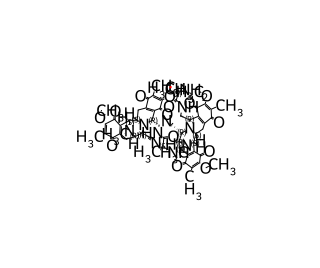 COC1=C(C)C(=O)C2=C(C1=O)[C@H]1[C@@H]3CC4=C(C(=O)C(OC)=C(C)C4=O)[C@H](CNC(=O)[C@H](C)N)N3[C@@H](C#N)[C@@H]([C@H]2N[C@@H](C)C(=O)NC[C@H]2C3=C(C[C@H]4[C@@H]5C6=C(C[C@H]([C@H](C#N)N24)N5C)C(=O)C(C)=C(OC)C6=O)C(=O)C(C)=C(OC)C3=O)N1C